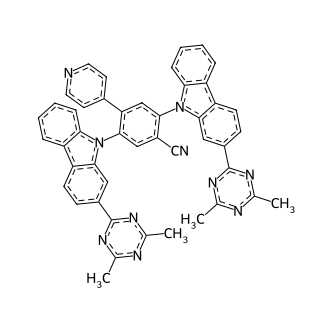 Cc1nc(C)nc(-c2ccc3c4ccccc4n(-c4cc(-c5ccncc5)c(-n5c6ccccc6c6ccc(-c7nc(C)nc(C)n7)cc65)cc4C#N)c3c2)n1